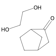 O=C1CC2CCC1C2.OCCO